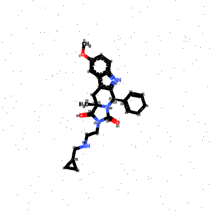 COc1ccc2[nH]c3c(c2c1)C[C@@]1(C)C(=O)N(CCNCC2CC2)C(=O)N1[C@@H]3C1=CCCC=C1